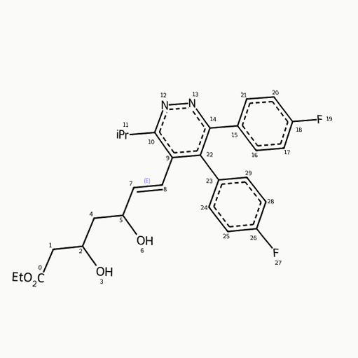 CCOC(=O)CC(O)CC(O)/C=C/c1c(C(C)C)nnc(-c2ccc(F)cc2)c1-c1ccc(F)cc1